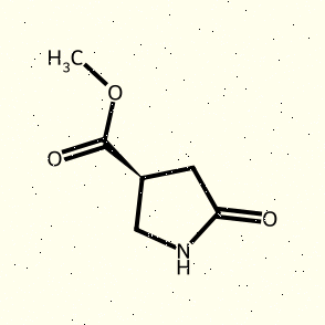 COC(=O)[C@@H]1CNC(=O)C1